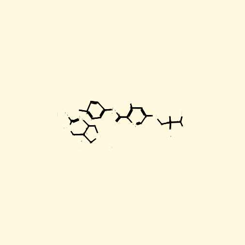 Cl.NC1=N[C@@]2(c3cc(NC(=O)c4ncc(OCC(F)(F)C(F)F)cc4F)ccc3F)COC[C@@]2(F)CO1